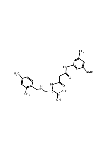 CCC[C@H](O)[C@H](CNCc1ccc(C)cc1C)NC(=O)CC(=O)Nc1cc(NC)cc(C(F)(F)F)c1